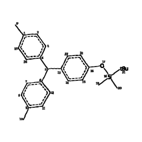 Cc1ccc(C(c2ccc(C)cc2)c2ccc(O[Si](C)(C)C(C)(C)C)cc2)cc1